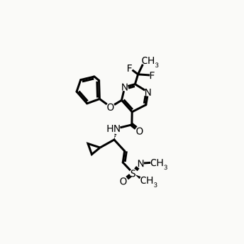 CN=[S@](C)(=O)/C=C/[C@@H](NC(=O)c1cnc(C(C)(F)F)nc1Oc1ccccc1)C1CC1